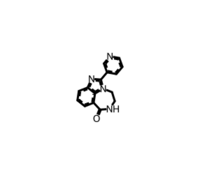 O=C1NCCn2c(-c3cccnc3)nc3cccc1c32